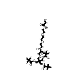 CC(C)(C)C(=O)OCC(COCC(=O)NCCOCCOCCNC(=O)CI)(COC(=O)C(C)(C)C)COC(=O)C(C)(C)C